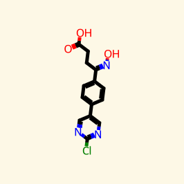 O=C(O)CC/C(=N\O)c1ccc(-c2cnc(Cl)nc2)cc1